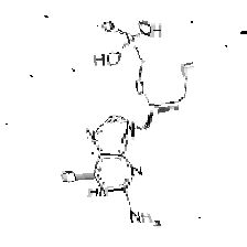 Nc1nc2c(ncn2C[C@H](CF)OCP(=O)(O)O)c(=O)[nH]1